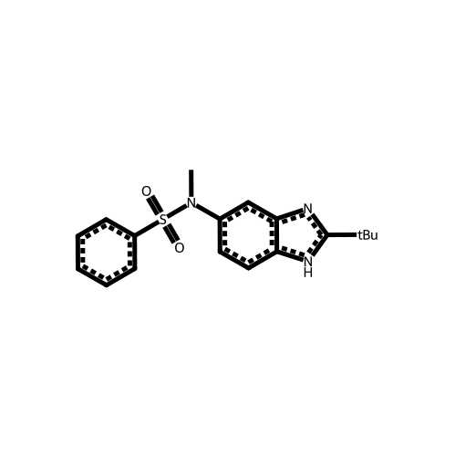 CN(c1ccc2[nH]c(C(C)(C)C)nc2c1)S(=O)(=O)c1ccccc1